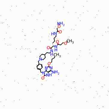 CCCCOc1nc(N)c2[nH]c(=O)n(Cc3ccc(CN4CCC(CCNC(=O)[C@H](CCCCNC(=O)CON)NC(=O)CCOC)CC4)cc3)c2n1